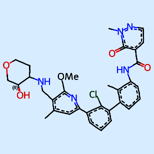 COc1nc(-c2cccc(-c3cccc(NC(=O)c4ccnn(C)c4=O)c3C)c2Cl)cc(C)c1CNC1CCOC[C@@H]1O